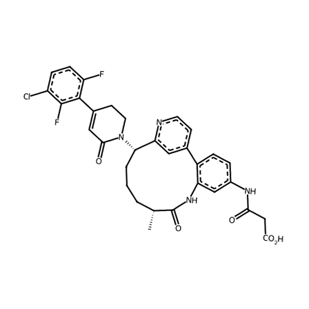 C[C@@H]1CCC[C@H](N2CCC(c3c(F)ccc(Cl)c3F)=CC2=O)c2cc(ccn2)-c2ccc(NC(=O)CC(=O)O)cc2NC1=O